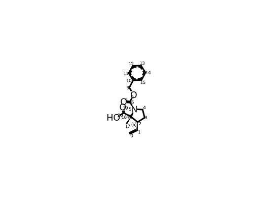 C=C[C@@H]1CCN(C(=O)OCc2ccccc2)[C@@]1(C)C(=O)O